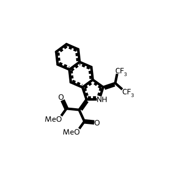 COC(=O)C(C(=O)OC)=c1[nH]c(=C(C(F)(F)F)C(F)(F)F)c2cc3ccccc3cc12